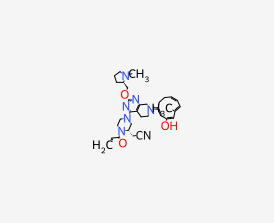 C=CC(=O)N1CCN(c2nc(OC[C@H]3CCCN3C)nc3c2CCN(/C2=C/C(O)=C\C(C)=C\C=C/CC2)C3)C[C@@H]1CC#N